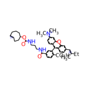 CC/C(C)=C/c1ccc2c(-c3cc(C(=O)NCCCNC(=O)OC4CC/C=C/CCC4)ccc3C(=O)O)c3ccc(=[N+](C)C)cc-3oc2c1